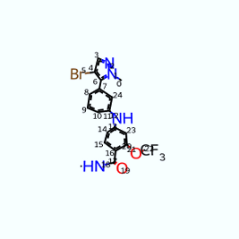 Cn1ncc(Br)c1-c1cccc(Nc2ccc(C([NH])=O)c(OC(F)(F)F)c2)c1